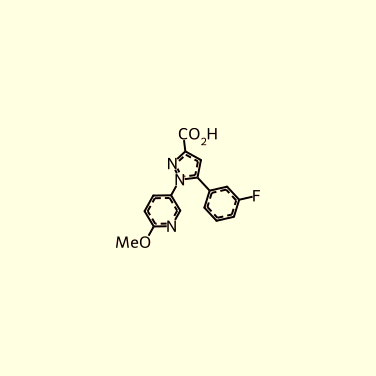 COc1ccc(-n2nc(C(=O)O)cc2-c2cccc(F)c2)cn1